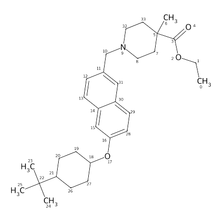 CCOC(=O)C1(C)CCN(Cc2ccc3cc(OC4CCC(C(C)(C)C)CC4)ccc3c2)CC1